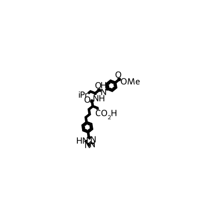 COC(=O)c1ccc(NC(=O)C(CC(C)C)NC(=O)C(CCCc2ccc(-c3nnn[nH]3)cc2)CC(=O)O)cc1